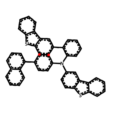 c1ccc(N(c2ccc(-c3cccc4ccccc34)cc2)c2ccc3sc4ccccc4c3c2)c(-c2ccc3sc4ccccc4c3c2)c1